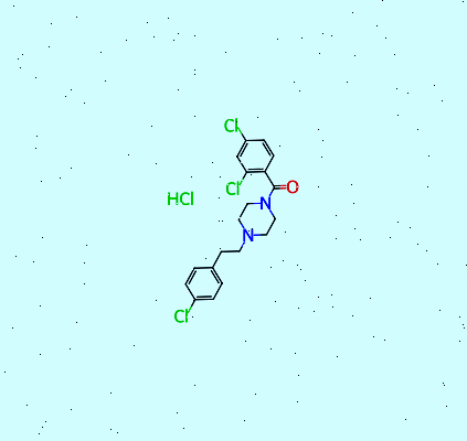 Cl.O=C(c1ccc(Cl)cc1Cl)N1CCN(CCc2ccc(Cl)cc2)CC1